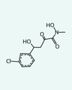 CN(O)C(=O)C(=O)CC(O)c1cccc(Cl)c1